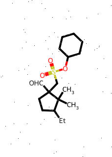 CCC1CCC(C=O)(CS(=O)(=O)OC2CCCCC2)C1(C)C